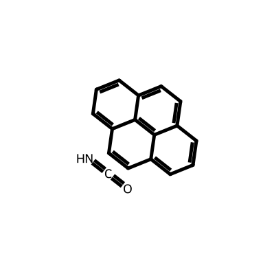 N=C=O.c1cc2ccc3cccc4ccc(c1)c2c34